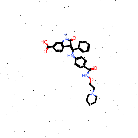 O=C1Nc2cc(C(=O)O)ccc2/C1=C(\Nc1ccc(C(=O)NOCCN2CCCCC2)cc1)c1ccccc1